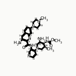 COC(=O)N[C@@H]1[C@H](N)CN(c2ccncc2NC(=O)c2nc3cc(N4CCN(C)CC4)ccc3cc2N)C[C@@H]1C